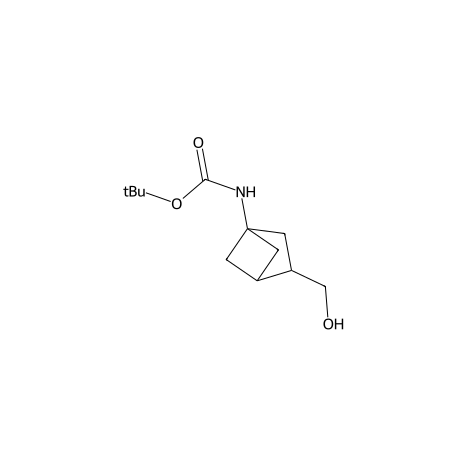 CC(C)(C)OC(=O)NC12CC(CO)C(C1)C2